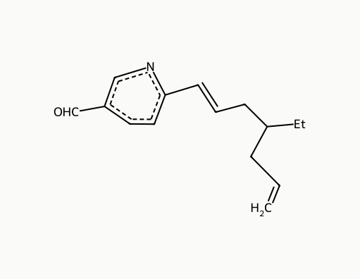 C=CCC(CC)CC=Cc1ccc(C=O)cn1